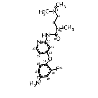 CN(C)CCN(C)C(=O)Nc1cc(Oc2ccc(N)cc2F)ccn1